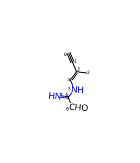 C#C/C(C)=C/NC(=N)C=O